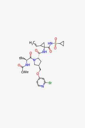 C=CC1C[C@]1(NC(=O)[C@@H]1C[C@@H](COc2ccnc(Br)c2)CN1C(=O)[C@@H](NC(=O)OC)C(C)(C)C)C(=O)NS(=O)(=O)C1CC1